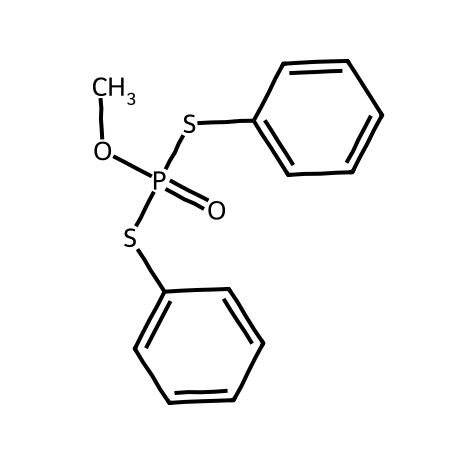 COP(=O)(Sc1ccccc1)Sc1ccccc1